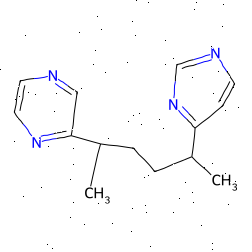 CC(CCC(C)c1cnccn1)c1ccncn1